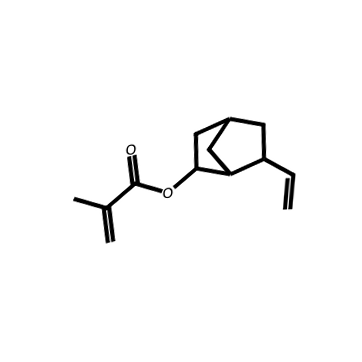 C=CC1CC2CC(OC(=O)C(=C)C)C1C2